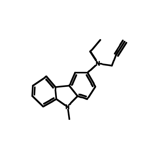 C#CCN(CC)c1ccc2c(c1)c1ccccc1n2C